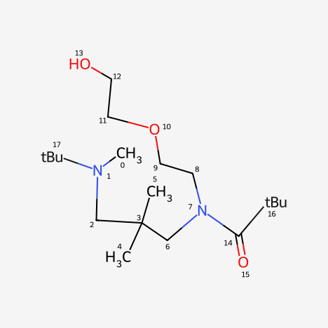 CN(CC(C)(C)CN(CCOCCO)C(=O)C(C)(C)C)C(C)(C)C